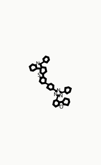 c1ccc(-c2nc(-c3ccc(-c4ccc5sc6c(ccc7c(-c8ccccc8)nc8ccccc8c76)c5c4)cc3)nc(-c3cccc4oc5ccccc5c34)n2)cc1